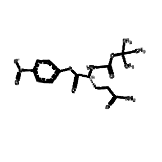 CC(C)(C)OC(=O)N[C@H](CCC(N)=O)C(=O)Oc1ccc([N+](=O)[O-])cc1